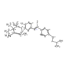 CC(O)COc1cnc(/C(F)=C/c2ccc(F)c([C@]3(C)CS(=O)(=O)C(C)(C)C(N)=N3)c2)cn1